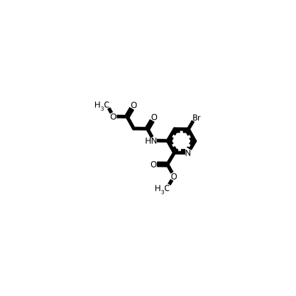 COC(=O)CC(=O)Nc1cc(Br)cnc1C(=O)OC